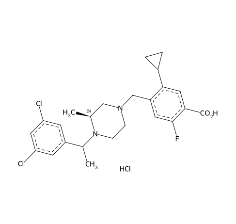 CC(c1cc(Cl)cc(Cl)c1)N1CCN(Cc2cc(F)c(C(=O)O)cc2C2CC2)C[C@@H]1C.Cl